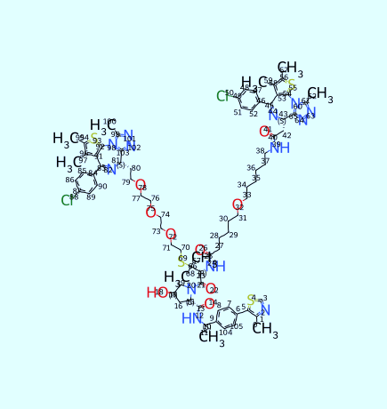 Cc1ncsc1-c1ccc([C@H](C)NC(=O)[C@@H]2C[C@@H](O)CN2C(=O)[C@@H](NC(=O)CCCCCOCCCCCCNC(=O)C[C@@H]2N=C(c3ccc(Cl)cc3)c3c(sc(C)c3C)-n3c(C)nnc32)C(C)(C)SCCOCCOCCOCC[C@@H]2N=C(c3ccc(Cl)cc3)c3c(sc(C)c3C)-n3c(C)nnc32)cc1